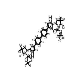 C[C@H]1N(C(=O)OC(C)(C)C)[C@H](c2nc(-c3ccc(-c4ccc(-c5c[nH]c([C@@H]6CC(C)(C)[C@@H](C)N6C(=O)OC(C)(C)C)n5)cc4)cc3)c[nH]2)CC1(C)C